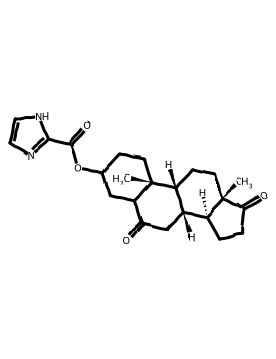 C[C@]12CCC(OC(=O)c3ncc[nH]3)CC1C(=O)C[C@@H]1[C@H]2CC[C@]2(C)C(=O)CC[C@@H]12